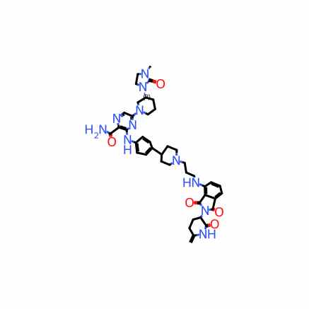 C=C1CCC(N2C(=O)c3cccc(NCCCN4CCC(c5ccc(Nc6nc(N7CCC[C@@H](N8CCN(C)C8=O)C7)cnc6C(N)=O)cc5)CC4)c3C2=O)C(=O)N1